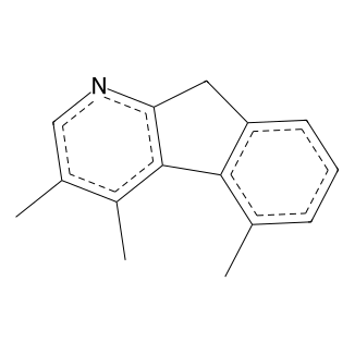 Cc1cnc2c(c1C)-c1c(C)cccc1C2